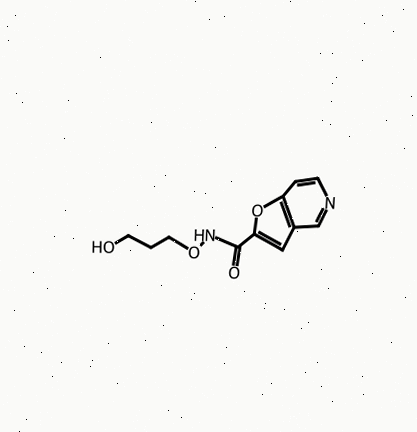 O=C(NOCCCO)c1cc2cnccc2o1